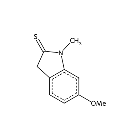 COc1ccc2c(c1)N(C)C(=S)C2